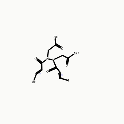 O=C(O)CN(C(=O)/C=C/Br)N(CC(=O)O)C(=O)/C=C/I